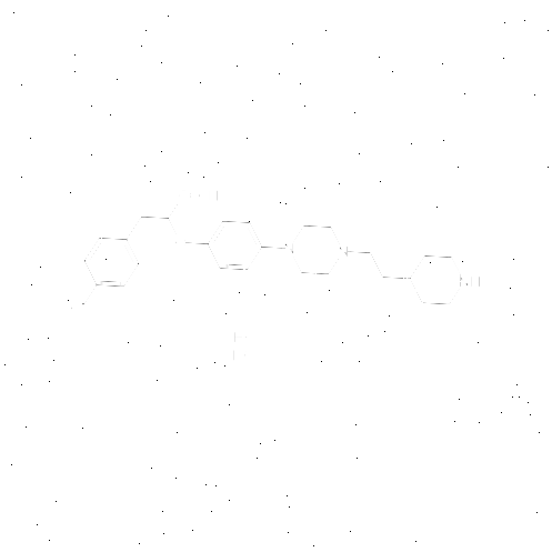 Cl.Cl.O=C(O)C(Cc1ccc(Cl)cc1)Oc1ccc(N2CCN(CCC3CCNCC3)CC2)cc1